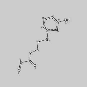 O=NC(=O)CCCSc1cccc(O)c1